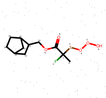 CC(F)(SOOO)C(=O)OCC1CC2CCC1C2